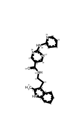 Cc1[nH]c2ccccc2c1CCNC(=O)c1cnc(Nc2ccccn2)nc1